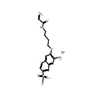 C=CC(=O)NCCCCOc1cc2ccc(S(=O)(=O)[O-])cc2cc1O.[Na+]